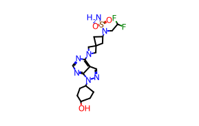 NS(=O)(=O)N(CC(F)F)C1CC2(C1)CN(c1ncnc3c1cnn3C1CCC(O)CC1)C2